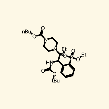 CCCCOC(=O)N1CCN(C(=O)C(NC(=O)OC(C)(C)C)c2ccccc2P(=O)(OCC)OCC)CC1